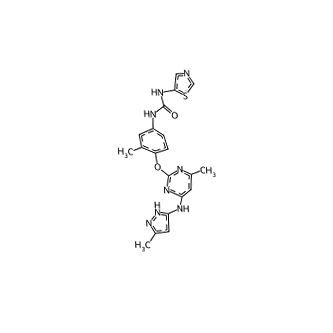 Cc1cc(Nc2cc(C)nc(Oc3ccc(NC(=O)Nc4cncs4)cc3C)n2)[nH]n1